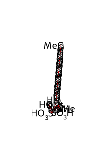 COCCOCCOCCOCCOCCOCCOCCOCCOCCOCCOCCOCCOCCOCCOCCOCCOCCOCCOCCOCCOCCOCCOCCOCCNC(=O)CCCCC[N+]1=C(C=CC=CC=C2N(CCCSOOO)c3ccc4c(S(=O)(=O)O)cc(S(=O)(=O)O)cc4c3C2(C)CCCCCC(=O)OC)C(C)(C)c2cc(SOOO)ccc21